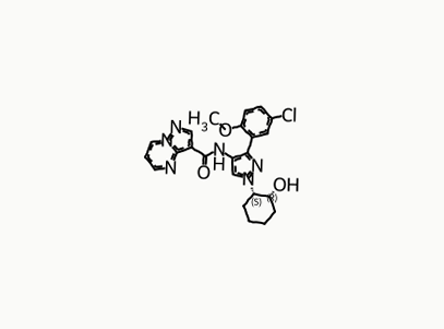 COc1ccc(Cl)cc1-c1nn([C@H]2CCCC[C@H]2O)cc1NC(=O)c1cnn2cccnc12